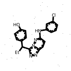 CCC(c1ccc(O)cc1)c1nnc2ccc(Nc3cccc(Cl)c3)nn12